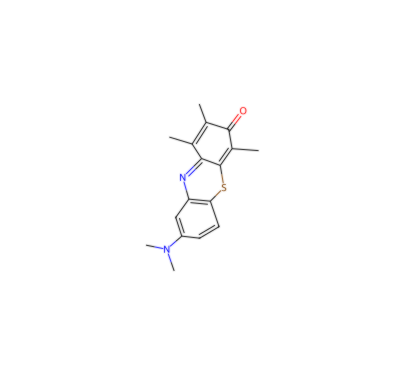 Cc1c2nc3cc(N(C)C)ccc3sc-2c(C)c(=O)c1C